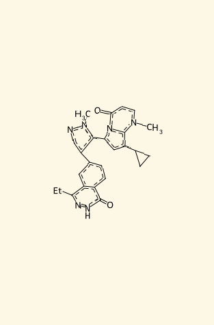 CCc1n[nH]c(=O)c2ccc(-c3cnn(C)c3-c3cc(C4CC4)c4n(C)ccc(=O)n34)cc12